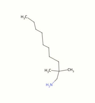 CCCCCCCCC(C)(C)CN